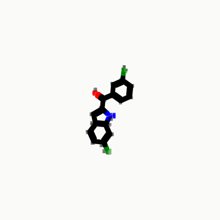 O=C(c1cccc(Br)c1)c1cc2ccc(Cl)cc2[nH]1